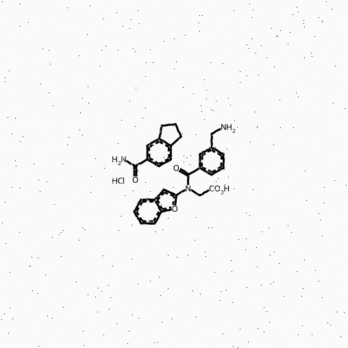 Cl.NC(=O)c1ccc2c(c1)CCC2.NCc1cccc(C(=O)N(CC(=O)O)c2cc3ccccc3o2)c1